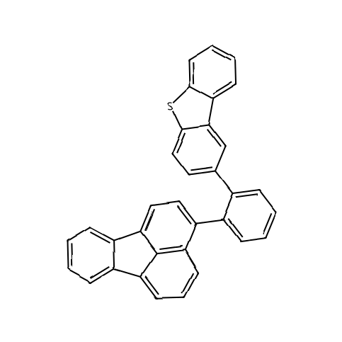 c1ccc(-c2ccc3c4c(cccc24)-c2ccccc2-3)c(-c2ccc3sc4ccccc4c3c2)c1